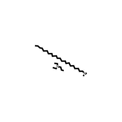 CCCCCCCCCCCCCCCCCCCCCCN(C)C.CCCN(CC)CC